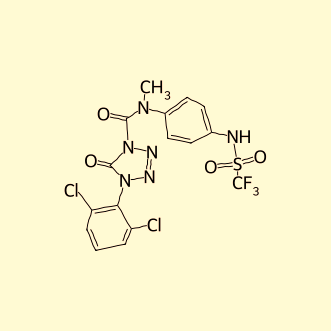 CN(C(=O)n1nnn(-c2c(Cl)cccc2Cl)c1=O)c1ccc(NS(=O)(=O)C(F)(F)F)cc1